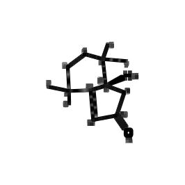 CC1(C)CCC(C)(C)[C@@H]2CC(=O)C=C21